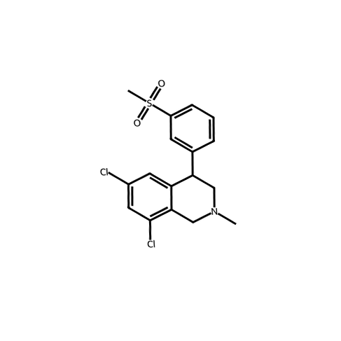 CN1Cc2c(Cl)cc(Cl)cc2C(c2cccc(S(C)(=O)=O)c2)C1